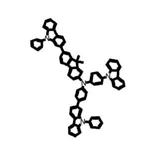 CC1(C)c2cc(-c3ccc4c5ccccc5n(-c5ccccc5)c4c3)ccc2-c2ccc(N(c3ccc(-c4ccc5c6ccccc6n(-c6ccccc6)c5c4)cc3)c3ccc(-n4c5ccccc5c5ccccc54)cc3)cc21